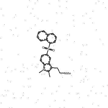 CNCCc1c(C)n(C)c2ccc(S(=O)(=O)c3cccc4ccccc34)cc12